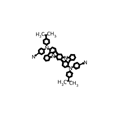 CC(C)c1ccc(N(c2ccc(C#N)cc2)c2ccc3c4cc5c(cc4n4c6ccccc6c2c34)c2ccc(N(c3ccc(C#N)cc3)c3ccc(C(C)C)cc3)c3c4ccccc4n5c23)cc1